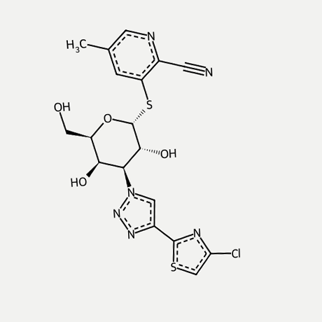 Cc1cnc(C#N)c(S[C@H]2O[C@H](CO)[C@H](O)[C@H](n3cc(-c4nc(Cl)cs4)nn3)[C@H]2O)c1